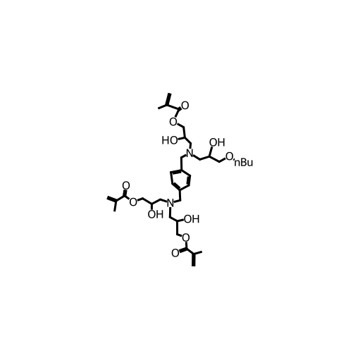 C=C(C)C(=O)OCC(O)CN(Cc1ccc(CN(CC(O)COC(=O)C(=C)C)CC(O)COC(=O)C(=C)C)cc1)CC(O)COCCCC